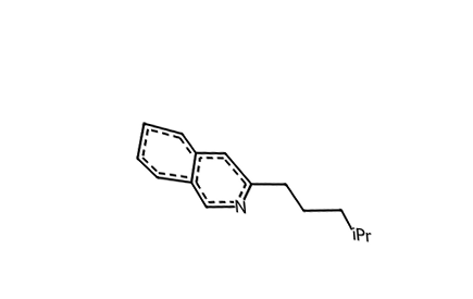 CC(C)CCCc1cc2ccccc2cn1